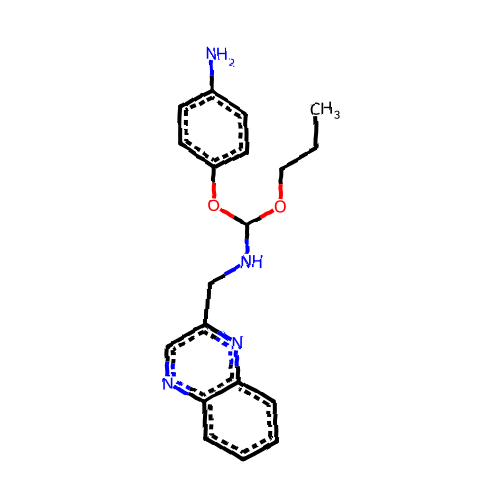 CCCOC(NCc1cnc2ccccc2n1)Oc1ccc(N)cc1